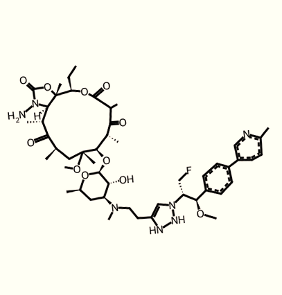 CC[C@H]1OC(=O)C(C)C(=O)[C@H](C)[C@@H](O[C@@H]2O[C@H](C)C[C@H](N(C)CCC3=CN([C@H](CF)[C@H](OC)c4ccc(-c5ccc(C)nc5)cc4)NN3)[C@H]2O)[C@](C)(OC)C[C@@H](C)C(=O)[C@H](C)[C@H]2N(N)C(=O)O[C@]12C